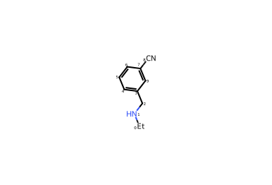 CCNCc1cccc(C#N)c1